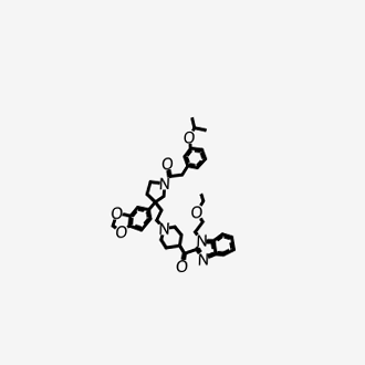 CCOCCn1c(C(=O)C2CCN(CCC3(c4ccc5c(c4)OCO5)CCN(C(=O)Cc4cccc(OC(C)C)c4)C3)CC2)nc2ccccc21